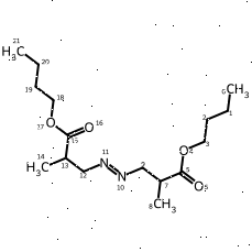 CCCCOC(=O)C(C)CN=NCC(C)C(=O)OCCCC